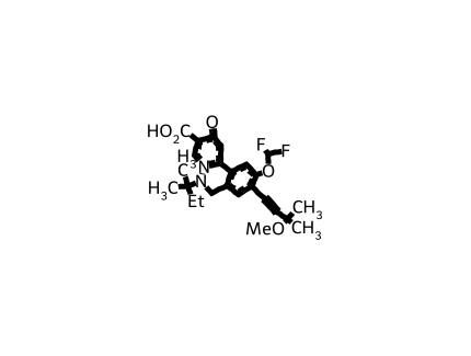 CCC(C)(C)N1Cc2cc(C#CC(C)(C)OC)c(OC(F)F)cc2-c2cc(=O)c(C(=O)O)cn21